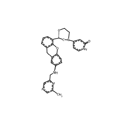 Cc1cncc(CNc2ccc3c(c2)Cc2cccc(C4CN(c5cc[nH]c(=O)c5)CCO4)c2O3)n1